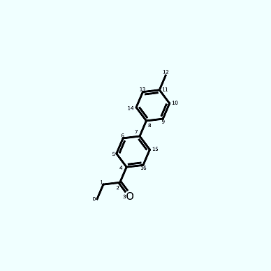 CCC(=O)c1ccc(-c2ccc(C)cc2)cc1